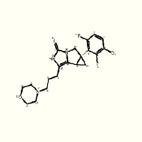 Fc1ccc(Cl)c(F)c1[C@]12CC1c1c(CCCN3CCOCC3)[nH]c(=S)n1C2